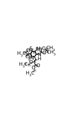 CCOC(=O)C(=Cc1c(F)c([Si](C)(C)C)c(F)c(F)c1NC(=O)OC(C)(C)C)OCC